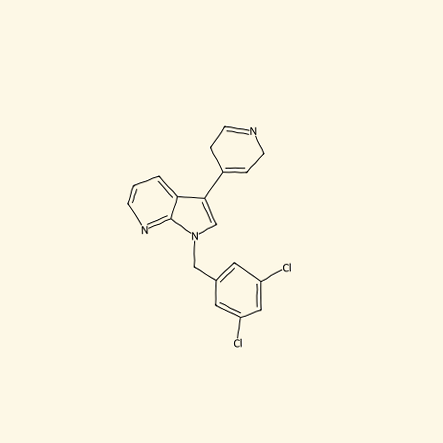 Clc1cc(Cl)cc(Cn2cc(C3=CCN=CC3)c3cccnc32)c1